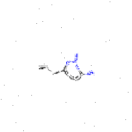 C=CCc1cc(N)[nH]n1